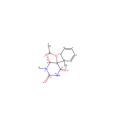 CCC(=O)OC1(C2(CC)C=CC=CC2)C(=O)NC(=O)N(C)C1=O